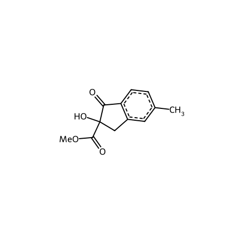 COC(=O)C1(O)Cc2cc(C)ccc2C1=O